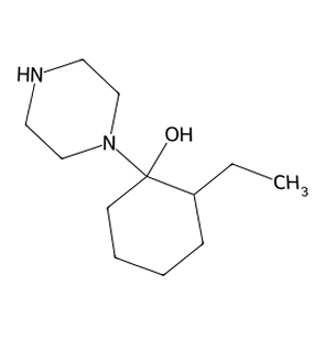 CCC1CCCCC1(O)N1CCNCC1